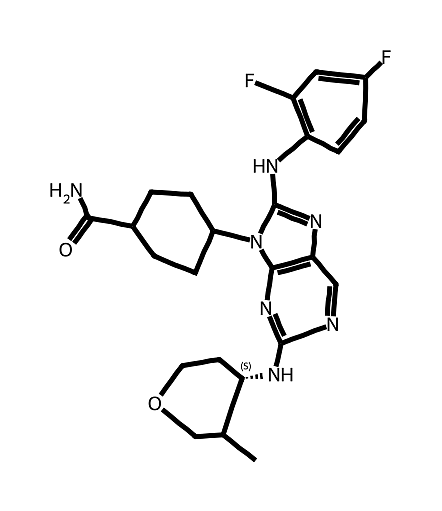 CC1COCC[C@@H]1Nc1ncc2nc(Nc3ccc(F)cc3F)n(C3CCC(C(N)=O)CC3)c2n1